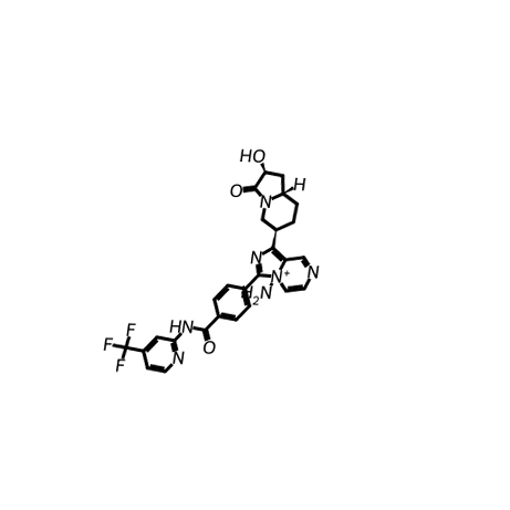 N[N+]12C=CN=CC1=C([C@@H]1CC[C@H]3C[C@H](O)C(=O)N3C1)N=C2c1ccc(C(=O)Nc2cc(C(F)(F)F)ccn2)cc1